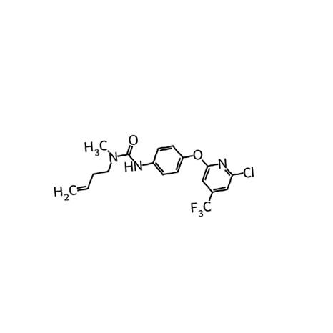 C=CCCN(C)C(=O)Nc1ccc(Oc2cc(C(F)(F)F)cc(Cl)n2)cc1